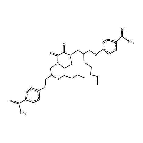 CCCCOC(COc1ccc(C(=N)N)cc1)CN1CCN(CC(COc2ccc(C(=N)N)cc2)OCCCC)C(=O)C1=O